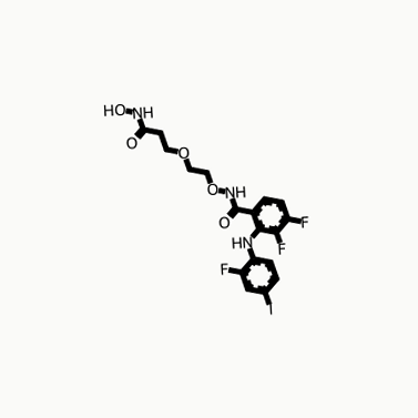 O=C(CCOCCONC(=O)c1ccc(F)c(F)c1Nc1ccc(I)cc1F)NO